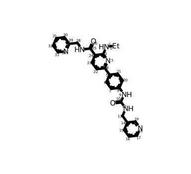 CCNc1nc(-c2ccc(NC(=O)NCc3cccnc3)cc2)ccc1C(=O)NCc1ccccn1